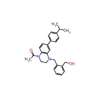 CC(=O)N1CCN(Cc2ccccc2CO)c2cc(-c3ccc(C(C)C)cc3)ccc21